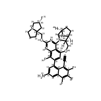 C#Cc1c(F)c(F)c(F)c2cc(N)cc(-c3cc4c5c(nc(OC[C@@]67CCCN6C[C@H](F)C7)nc5c3F)N3C[C@H]5CC[C@H](N5)[C@@H]3CO4)c12